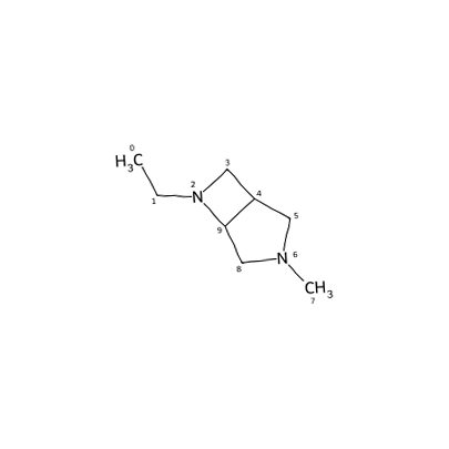 CCN1CC2CN(C)CC21